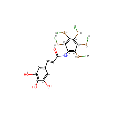 O=C(C=Cc1cc(O)c(O)c(O)c1)Nc1c(SF)c(SF)c(SF)c(SF)c1SF